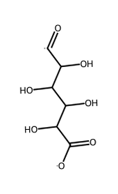 [O]C(=O)C(O)C(O)C(O)C(O)[C]=O